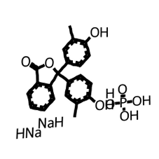 Cc1cc(C2(c3ccc(O)c(C)c3)OC(=O)c3ccccc32)ccc1O.O=P(O)(O)O.[NaH].[NaH]